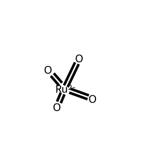 [O]=[Ru-2](=[O])(=[O])=[O]